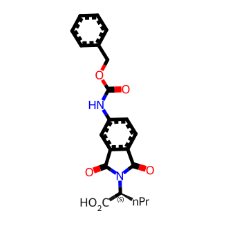 CCC[C@@H](C(=O)O)N1C(=O)c2ccc(NC(=O)OCc3ccccc3)cc2C1=O